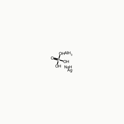 O=P(O)(O)O.[Ag].[AlH3].[NaH]